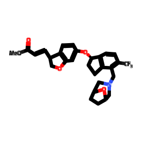 COC(=O)C=CC1COc2cc(O[C@@H]3CCc4c3ccc(C(F)(F)F)c4CN3CC4CCC(C3)O4)ccc21